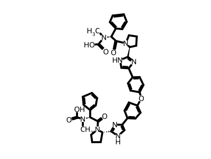 CN(C(=O)O)[C@@H](C(=O)N1CCC[C@H]1c1nc(-c2ccc(Oc3ccc(-c4c[nH]c([C@@H]5CCCN5C(=O)[C@@H](c5ccccc5)N(C)C(=O)O)n4)cc3)cc2)c[nH]1)c1ccccc1